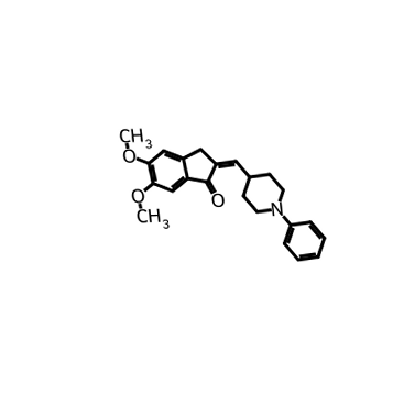 COc1cc2c(cc1OC)C(=O)C(=CC1CCN(c3ccccc3)CC1)C2